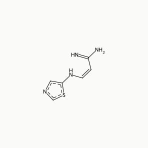 N=C(N)/C=C\Nc1cncs1